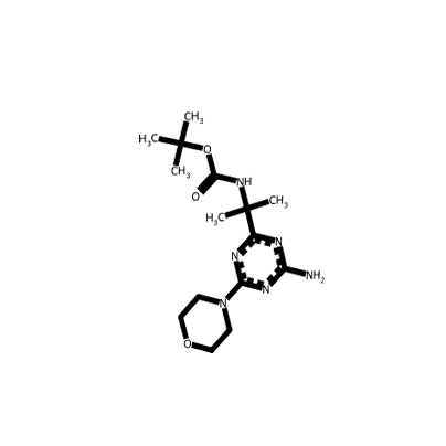 CC(C)(C)OC(=O)NC(C)(C)c1nc(N)nc(N2CCOCC2)n1